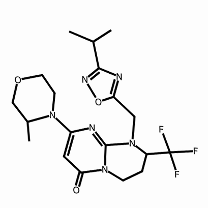 CC(C)c1noc(CN2c3nc(N4CCOCC4C)cc(=O)n3CCC2C(F)(F)F)n1